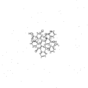 Cc1ccccc1-c1c2oc3c(-c4ccccc4C)c(O)c(-c4cccnc4)cc3c(-c3c(Cl)c(C(=O)O)cc(Cl)c3C(=O)O)c-2c2ccccc2c1=O